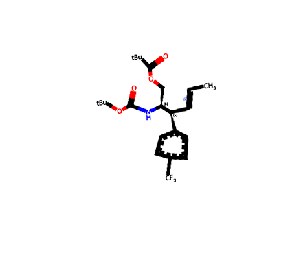 C/C=C/[C@@H](c1ccc(C(F)(F)F)cc1)[C@H](COC(=O)C(C)(C)C)NC(=O)OC(C)(C)C